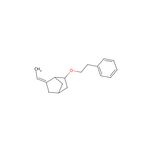 CC=C1CC2CC(OCCc3ccccc3)C1C2